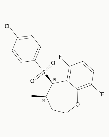 C[C@@H]1CCOc2c(F)ccc(F)c2[C@@H]1S(=O)(=O)c1ccc(Cl)cc1